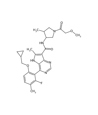 COCC(=O)N1CC(C)C(NC(=O)c2c(C)[nH]c3c(-c4c(OCC5CC5)ccc(C)c4F)ncnc23)C1